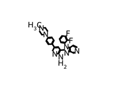 CN1CCN(c2ccc(-c3cnc(N)c(-c4nc5cnccc5n4-c4cccc(F)c4F)c3)cc2)CC1